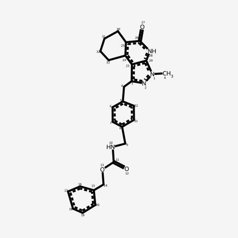 Cn1nc(Cc2ccc(CNC(=O)OCc3ccccc3)cc2)c2c3c(c(=O)[nH]c21)CCCC3